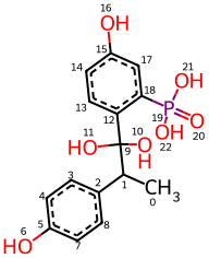 CC(c1ccc(O)cc1)C(O)(O)c1ccc(O)cc1P(=O)(O)O